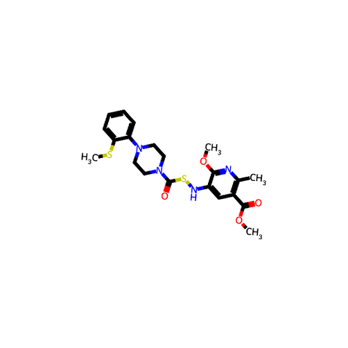 COC(=O)c1cc(NSC(=O)N2CCN(c3ccccc3SC)CC2)c(OC)nc1C